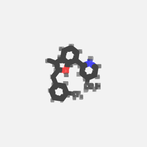 Cc1c(Cc2cccc(C(F)(F)F)c2)oc2c(-c3cc(C(=O)O)ccn3)cccc12